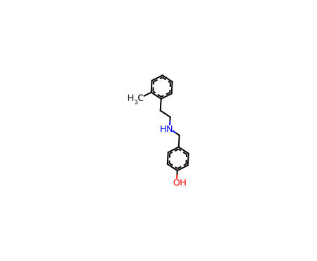 Cc1ccccc1CCNCc1ccc(O)cc1